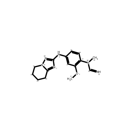 COc1cc(Nc2nc3n(n2)CCCC3)ccc1N(C)C=N